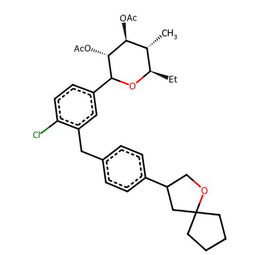 CC[C@H]1OC(c2ccc(Cl)c(Cc3ccc(C4COC5(CCCC5)C4)cc3)c2)[C@H](OC(C)=O)[C@@H](OC(C)=O)[C@@H]1C